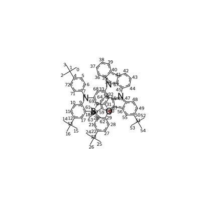 CC(C)(C)c1ccc(N2c3ccc(C(C)(C)C)cc3B3c4cc(C(C)(C)C)ccc4Oc4cc(-n5c6ccccc6c6cccc(-n7c8ccc(C(C)(C)C)cc8c8cc(C(C)(C)C)ccc87)c65)cc2c43)cc1